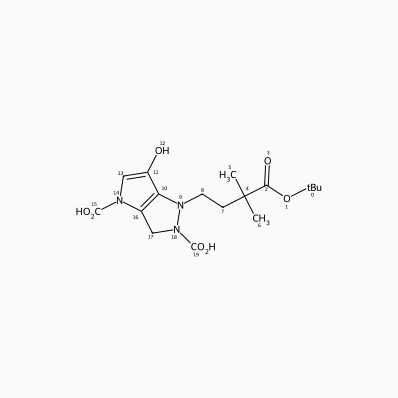 CC(C)(C)OC(=O)C(C)(C)CCN1c2c(O)cn(C(=O)O)c2CN1C(=O)O